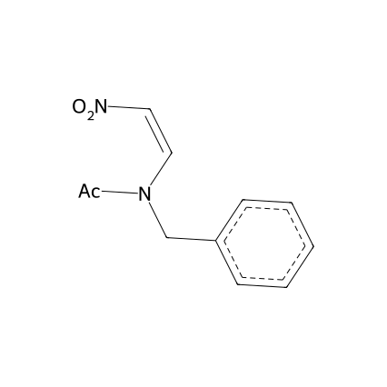 CC(=O)N(/C=C\[N+](=O)[O-])Cc1ccccc1